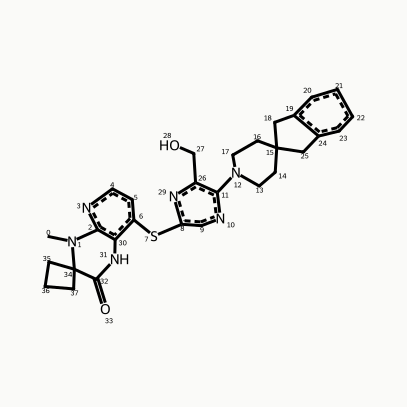 CN1c2nccc(Sc3cnc(N4CCC5(CC4)Cc4ccccc4C5)c(CO)n3)c2NC(=O)C12CCC2